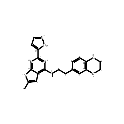 Cc1cc2c(NCCc3ccc4c(c3)OCCO4)nc(-c3ccno3)nc2s1